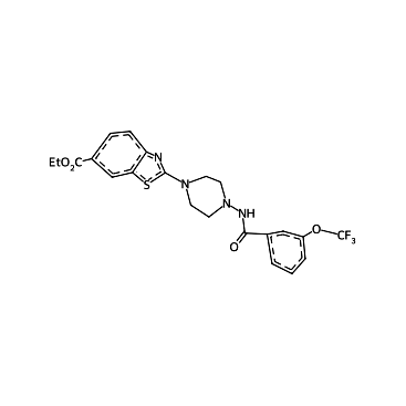 CCOC(=O)c1ccc2nc(N3CCN(NC(=O)c4cccc(OC(F)(F)F)c4)CC3)sc2c1